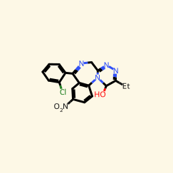 CCC1=NN=C2CN=C(c3ccccc3Cl)c3cc([N+](=O)[O-])ccc3N2C1O